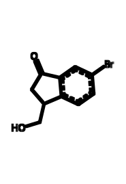 O=C1CC(CO)c2ccc(Br)cc21